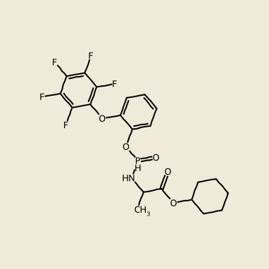 CC(N[PH](=O)Oc1ccccc1Oc1c(F)c(F)c(F)c(F)c1F)C(=O)OC1CCCCC1